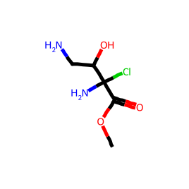 COC(=O)C(N)(Cl)C(O)CN